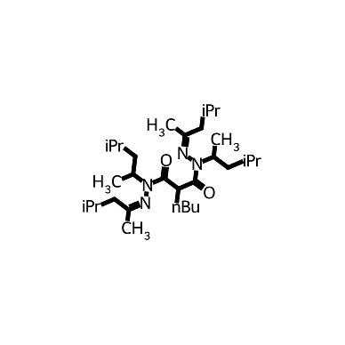 CCCCC(C(=O)N(N=C(C)CC(C)C)C(C)CC(C)C)C(=O)N(N=C(C)CC(C)C)C(C)CC(C)C